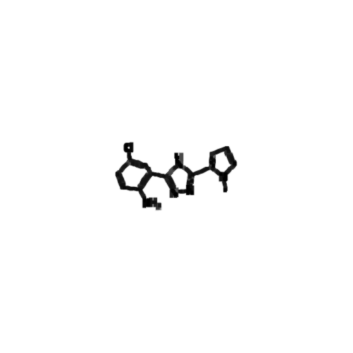 Cn1cccc1-c1nnc(-c2cc(Cl)ccc2N)[nH]1